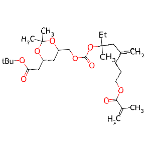 C=C(CCCOC(=O)C(=C)C)CC(C)(CC)OC(=O)OCC1CC(CC(=O)OC(C)(C)C)OC(C)(C)O1